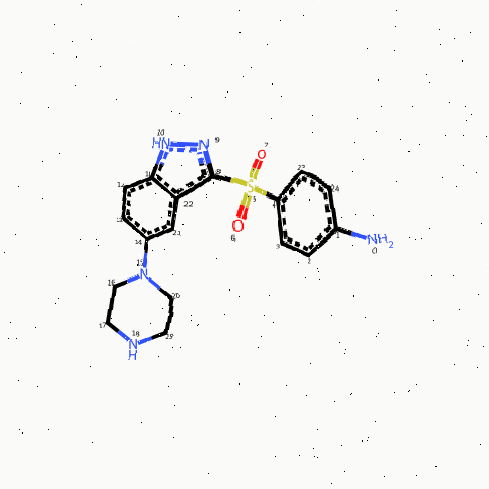 Nc1ccc(S(=O)(=O)c2n[nH]c3ccc(N4CCNCC4)cc23)cc1